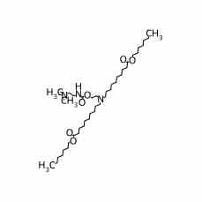 CCCCCCCOC(=O)CCCCCCCCCN(CCCCCCCCCC(=O)OCCCCCCC)CCOC(=O)NCCN(C)C